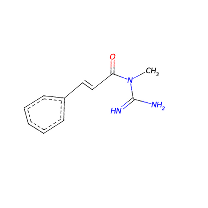 CN(C(=N)N)C(=O)C=Cc1ccccc1